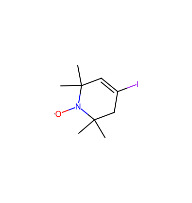 CC1(C)C=C(I)CC(C)(C)N1[O]